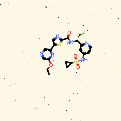 CCOc1cncc(-c2cnc(C(=O)N[C@H](CF)c3cc(NS(=O)(=O)C4CC4)ccn3)s2)n1